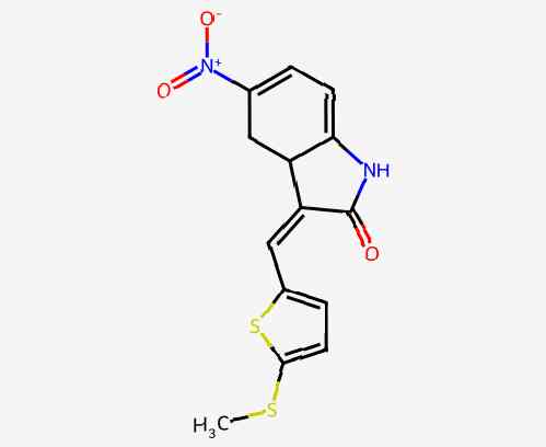 CSc1ccc(C=C2C(=O)NC3=CC=C([N+](=O)[O-])CC32)s1